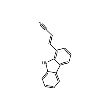 N#CC=Cc1cccc2c1[nH]c1ccccc12